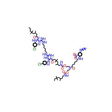 CCCC(C)(C)CC(C)CC(=O)/N=C(/NC(=N)NCCCCCCNC(=N)N/C(=N/C(=O)CC(C)(C)CC(C)CNC(=O)OCCN(CCOC(=O)NCCC(C)CC(C)(C)CC)C(=O)CCCCCNc1ccc(N=[N+]=[N-])cc1[N+](=O)[O-])Nc1ccc(Cl)cc1)Nc1ccc(Cl)cc1